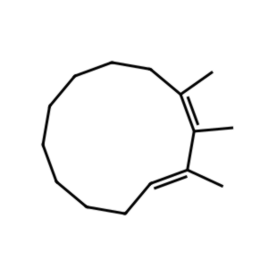 C/C1=C(C)/C(C)=C/CCCCCCCC1